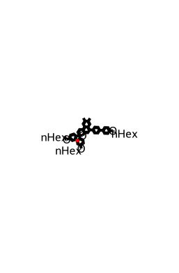 CCCCCCOc1ccc(-c2ccc(-c3cc4c(c5cc(C)c(C)cc35)C=CC(c3ccc(OCCCCCC)cc3)(c3ccc(OCCCCCC)cc3)O4)cc2)cc1